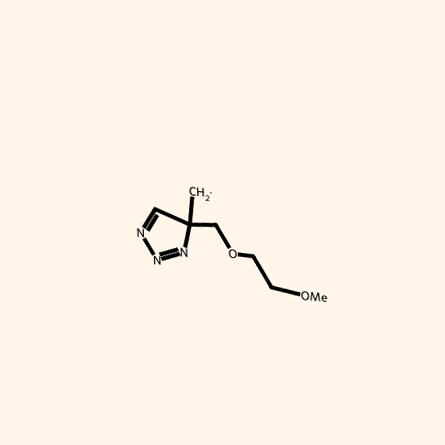 [CH2]C1(COCCOC)C=NN=N1